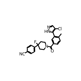 Cc1ccc(C(=O)N2CCC(F)(c3ccc(C#N)cc3)CC2)cc1-c1[nH]ncc1Cl